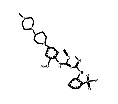 C=N/C(=N\C(=N/C)Nc1ccccc1S(=O)(=O)C(C)C)Nc1ccc(N2CCC(N3CCN(C)CC3)CC2)cc1OC